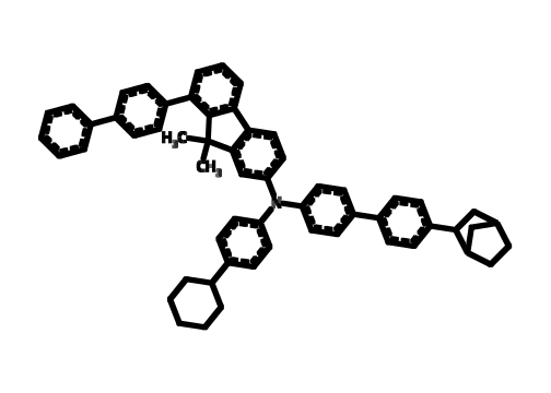 CC1(C)c2cc(N(c3ccc(-c4ccc(C5CC6CCC5C6)cc4)cc3)c3ccc(C4CCCCC4)cc3)ccc2-c2cccc(-c3ccc(-c4ccccc4)cc3)c21